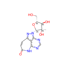 C[C@@]1(O)[C@H](O)[C@@H](CO)O[C@H]1n1nc2c3c(ncnc31)NC(=O)C=C2